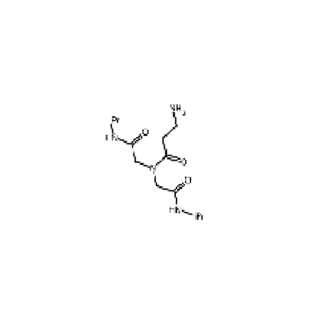 CC(C)NC(=O)CN(CC(=O)NC(C)C)C(=O)CCN